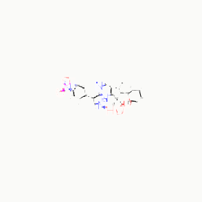 CCC(c1ccccc1)[C@](C)(C(=O)O)c1ccnc2c(-c3ccc([N+](=O)[O-])cc3)cnn12